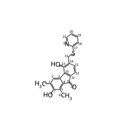 Cc1cc2c(c(C)c1O)C(=O)c1ccc(CSc3ccccn3)c(O)c1-2